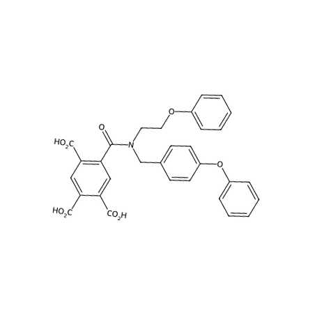 O=C(O)c1cc(C(=O)O)c(C(=O)N(CCOc2ccccc2)Cc2ccc(Oc3ccccc3)cc2)cc1C(=O)O